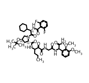 CCCC(NC(=O)[C@@H]1C[C@@H](OC(C)(C)C)CN1C(=O)[C@@H](NC(=O)c1c(F)cccc1F)C1CCCCC1)C(=O)C(=O)NCC(=O)NC(C(N)=O)c1cccc(OC)c1OC